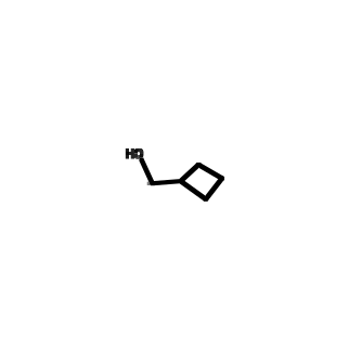 O[CH]C1CCC1